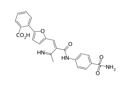 CC(=N)/C(=C\c1ccc(-c2ccccc2C(=O)O)o1)C(=O)Nc1ccc(S(N)(=O)=O)cc1